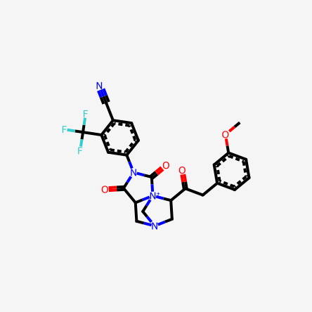 COc1cccc(CC(=O)C2CN3CC4C(=O)N(c5ccc(C#N)c(C(F)(F)F)c5)C(=O)[N+]24C3)c1